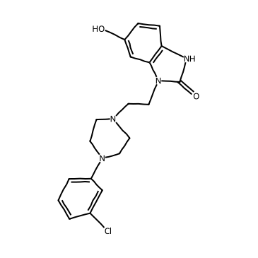 O=c1[nH]c2ccc(O)cc2n1CCN1CCN(c2cccc(Cl)c2)CC1